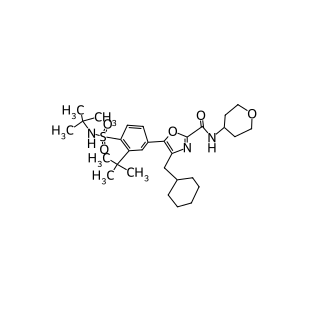 CC(C)(C)NS(=O)(=O)c1ccc(-c2oc(C(=O)NC3CCOCC3)nc2CC2CCCCC2)cc1C(C)(C)C